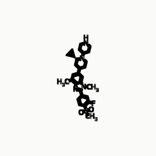 Cc1cc(C2CCN(C3CCNCC3)[C@@H](C3CC3)C2)cc2c1nc(-c1ccc(S(C)(=O)=O)c(F)c1)n2C